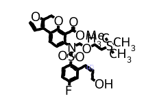 COC(=O)c1c(N(COCCS(C)(C)C)S(=O)(=O)c2ccc(F)cc2/C=C\CO)ccc2c1OCc1occc1-2